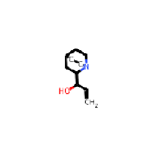 C=CC(O)C1CC2CCN1CC2